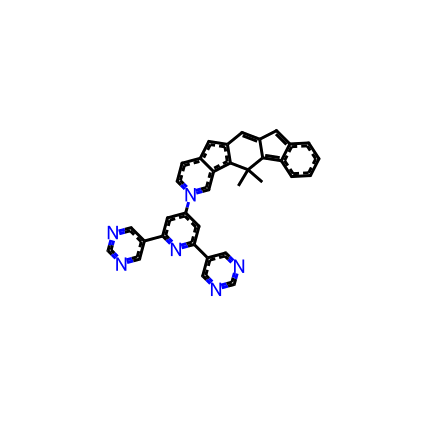 CC1(C)C2=c3ccccc3=CC2=Cc2cc3ccn(-c4cc(-c5cncnc5)nc(-c5cncnc5)c4)cc-3c21